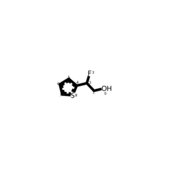 OCC(F)c1cccs1